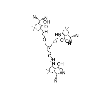 CC1(C)CC(NCCOCCN(CCOCCNC2=C(C(=O)O)C(=C(C#N)C#N)CC(C)(C)C2)CCOCCNC2=C(C(=O)O)C(=C(C#N)C#N)CC(C)(C)C2)=C(C(=O)O)C(=C(C#N)C#N)C1